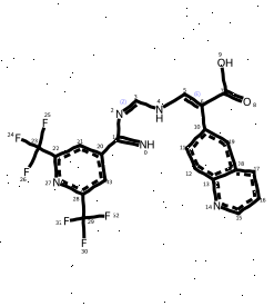 N=C(/N=C\N/C=C(/C(=O)O)c1ccc2ncccc2c1)c1cc(C(F)(F)F)nc(C(F)(F)F)c1